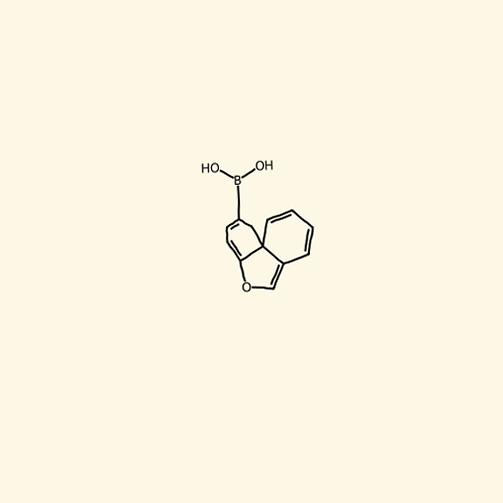 OB(O)C1=CC=C2OC=C3C=CC=CC32C1